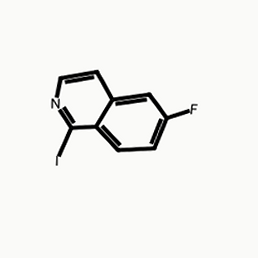 Fc1ccc2c(I)nccc2c1